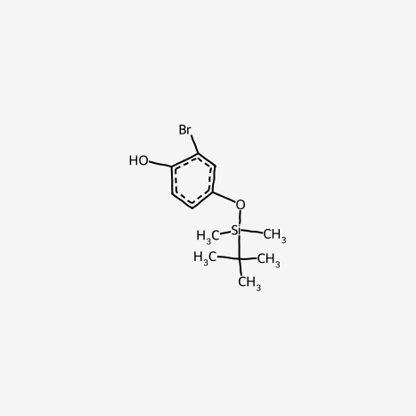 CC(C)(C)[Si](C)(C)Oc1ccc(O)c(Br)c1